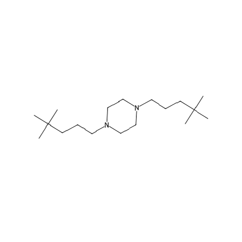 CC(C)(C)CCCN1CCN(CCCC(C)(C)C)CC1